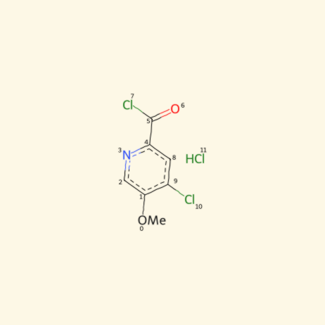 COc1cnc(C(=O)Cl)cc1Cl.Cl